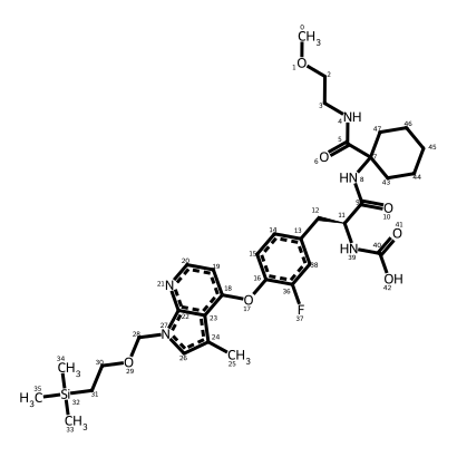 COCCNC(=O)C1(NC(=O)[C@H](Cc2ccc(Oc3ccnc4c3c(C)cn4COCC[Si](C)(C)C)c(F)c2)NC(=O)O)CCCCC1